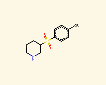 O=S(=O)(c1ccc(C(F)(F)F)cc1)C1CCCNC1